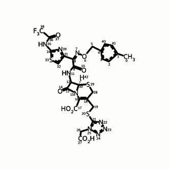 Cc1ccc(CO/N=C(\C(=O)NC2C(=O)N3C(C(=O)O)=C(CSc4nnnn4CC(=O)O)CS[C@H]23)c2csc(NC(=O)C(F)(F)F)n2)cc1